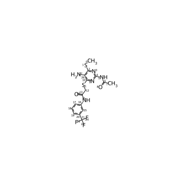 CSc1nc(NC(C)=O)nc(SCC(=O)Nc2cccc(C(F)(F)F)c2)c1N